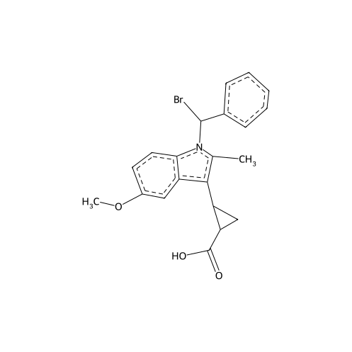 COc1ccc2c(c1)c(C1CC1C(=O)O)c(C)n2C(Br)c1ccccc1